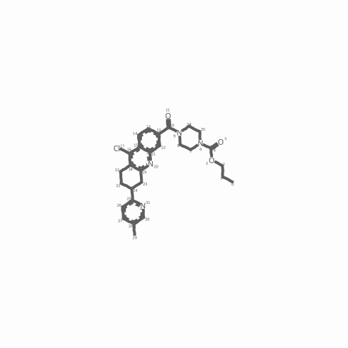 CCCOC(=O)N1CCN(C(=O)c2ccc3c(Cl)c4c(nc3c2)CC(c2ccc(C)cn2)CC4)CC1